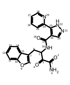 NC(=O)C(=O)C(Cc1coc2ccccc12)NC(=O)c1cn[nH]c1-c1ccccn1